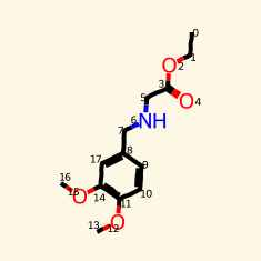 CCOC(=O)CNCc1ccc(OC)c(OC)c1